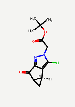 CC(C)(C)OC(=O)Cn1nc2c(c1Cl)[C@H]1CC1C2=O